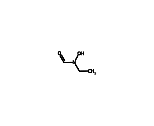 CCN(O)C=O